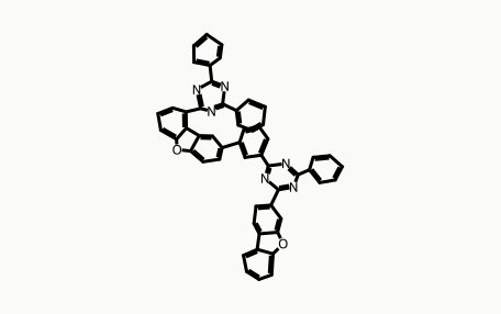 c1ccc(-c2nc(-c3cccc(-c4ccc5oc6cccc(-c7nc(-c8ccccc8)nc(-c8ccccc8)n7)c6c5c4)c3)nc(-c3ccc4c(c3)oc3ccccc34)n2)cc1